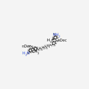 CCCCCCCCCCCC(c1ccc(CCCCCCCCCCCc2ccc(C(CCCCCCCCCCC)c3ccc(N)cc3C)cc2)cc1)c1ccc(N)cc1C